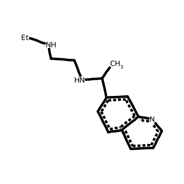 CCNCCNC(C)c1ccc2cccnc2c1